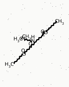 CCCCCCC=CCOC(=O)CCCCCCCC(CCCCCCCC(=O)OCC=CCCCCCC)NC(=O)CCCCN(C)C